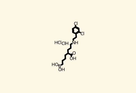 Cl.Cl.O=C(O)C(CCCCB(O)O)CCCNCCc1ccc(Cl)cc1Cl